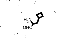 NC(C=O)CC1CCC1